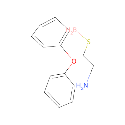 BSCCN.c1ccc(Oc2ccccc2)cc1